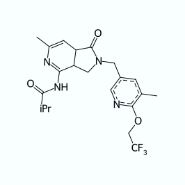 CC1=CC2C(=O)N(Cc3cnc(OCC(F)(F)F)c(C)c3)CC2C(NC(=O)C(C)C)=N1